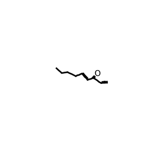 C=CC(=O)C=CCCCC